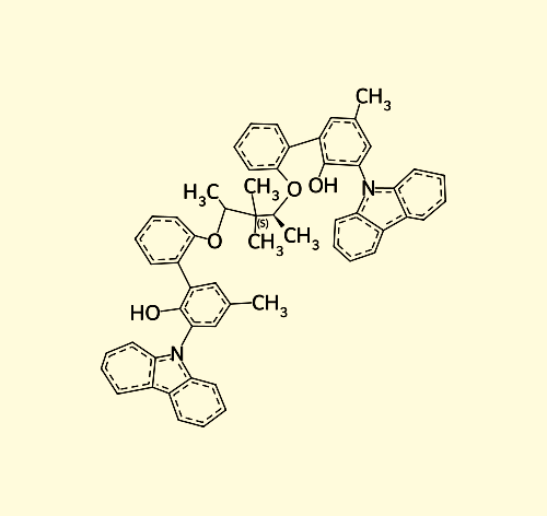 Cc1cc(-c2ccccc2OC(C)C(C)(C)[C@H](C)Oc2ccccc2-c2cc(C)cc(-n3c4ccccc4c4ccccc43)c2O)c(O)c(-n2c3ccccc3c3ccccc32)c1